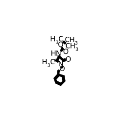 C[C@H]1[C@H](NC(=O)OC(C)(C)C)C(=O)N1OCc1ccccc1